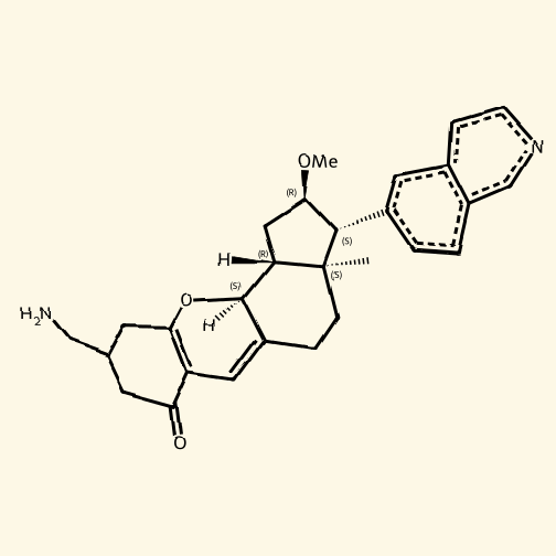 CO[C@@H]1C[C@H]2[C@@H]3OC4=C(C=C3CC[C@]2(C)[C@H]1c1ccc2cnccc2c1)C(=O)CC(CN)C4